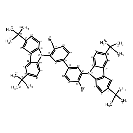 CC(C)(C)c1ccc2c(c1)c1cc(C(C)(C)C)ccc1n2-c1cc(-c2ccc(Br)c(-n3c4ccc(C(C)(C)C)cc4c4cc(C(C)(C)C)ccc43)c2)ccc1Br